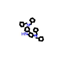 c1ccc(CN(Cc2ccccc2)c2ccc3[nH]c4ccc(N(Cc5ccccc5)Cc5ccccc5)cc4c3c2)cc1